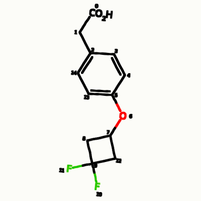 O=C(O)Cc1ccc(OC2CC(F)(F)C2)cc1